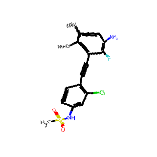 COc1c(C(C)(C)C)cc(N)c(F)c1C#Cc1ccc(NS(C)(=O)=O)cc1Cl